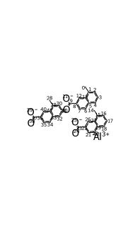 Cc1cccc2ccc(C(=O)[O-])cc12.Cc1cccc2ccc(C(=O)[O-])cc12.Cc1cccc2ccc(C(=O)[O-])cc12.[Al+3]